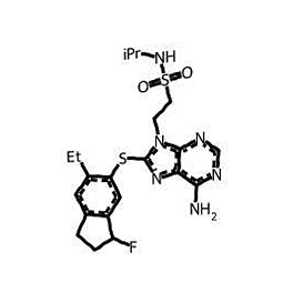 CCc1cc2c(cc1Sc1nc3c(N)ncnc3n1CCS(=O)(=O)NC(C)C)C(F)CC2